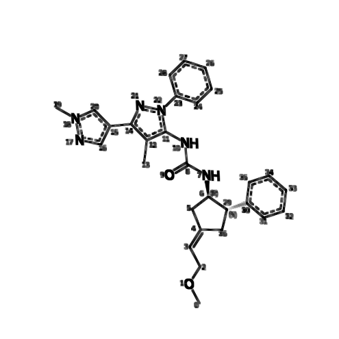 COCC=C1C[C@@H](NC(=O)Nc2c(C)c(-c3cnn(C)c3)nn2-c2ccccc2)[C@H](c2ccccc2)C1